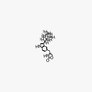 [2H]C([2H])([2H])N(C([2H])([2H])[2H])C([2H])([2H])C([2H])([2H])c1c[nH]c2ccc(C[C@H]3COC(=O)N3)cc12